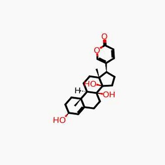 C[C@]12CC[C@H](O)C=C1CC[C@]1(O)[C@@H]2CC[C@]2(C)[C@@H](c3ccc(=O)oc3)CC[C@@]21O